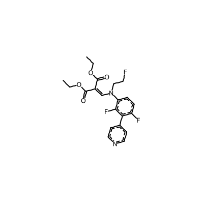 CCOC(=O)C(=CN(CCF)c1ccc(F)c(-c2ccncc2)c1F)C(=O)OCC